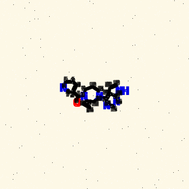 O=C(c1cccnc1)N1CCCN(c2ncnc3[nH]ccc23)CC12CC2